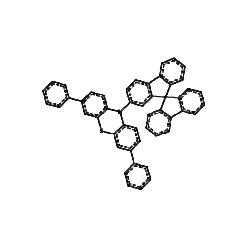 c1ccc(-c2ccc3c(c2)Sc2cc(-c4ccccc4)ccc2N3c2ccc3c(c2)C2(c4ccccc4-c4ccccc42)c2ccccc2-3)cc1